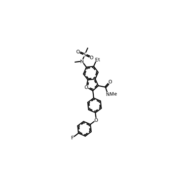 CCc1cc2c(C(=O)NC)c(-c3ccc(Oc4ccc(F)cc4)cc3)oc2cc1N(C)S(C)(=O)=O